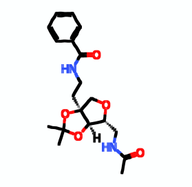 CC(=O)NC[C@H]1OC[C@]2(CCNC(=O)c3ccccc3)OC(C)(C)O[C@H]12